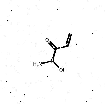 C=CC(=O)N(N)O